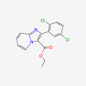 CCOC(=O)c1c(-c2cc(Cl)ccc2Cl)nc2ccccn12